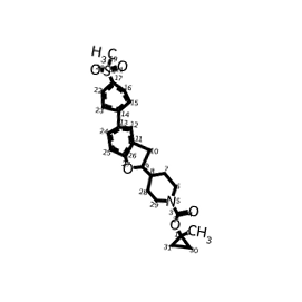 CC1(OC(=O)N2CCC(C3Cc4cc(-c5ccc(S(C)(=O)=O)cc5)ccc4O3)CC2)CC1